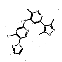 Cc1nnc(-c2c(C)noc2C)cc1Nc1cc(Br)c(-n2ccnn2)cn1